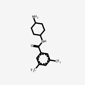 NC1CCC(NC(=O)c2cc(C(F)(F)F)cc(C(F)(F)F)c2)CC1